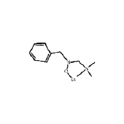 CCON(Cc1ccccc1)C[Si](C)(C)C